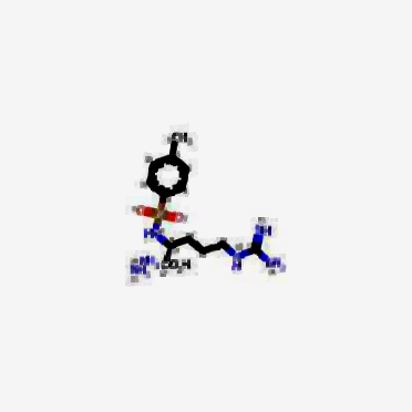 Cc1ccc(S(=O)(=O)N[C@@H](CCCNC(=N)N)C(=O)O)cc1.N.N